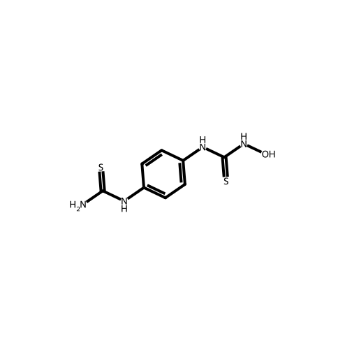 NC(=S)Nc1ccc(NC(=S)NO)cc1